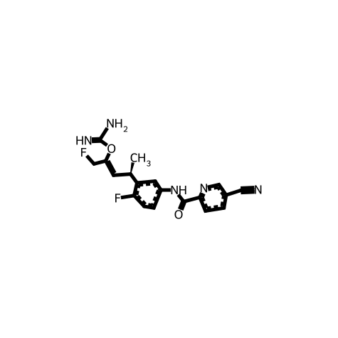 C[C@H](/C=C(/CF)OC(=N)N)c1cc(NC(=O)c2ccc(C#N)cn2)ccc1F